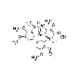 COc1ccc([Si](Cl)(c2ccc(OC)c(OC)c2OC)c2ccc(OC)c(OC)c2OC)c(OC)c1OC